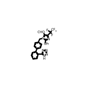 CCCc1nc(C(F)(F)C(F)(F)F)c(C=O)n1Cc1ccc(-c2ccccc2-c2nnn[nH]2)cc1